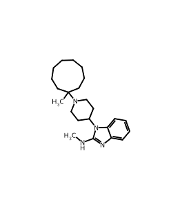 CNc1nc2ccccc2n1C1CCN(C2(C)CCCCCCCC2)CC1